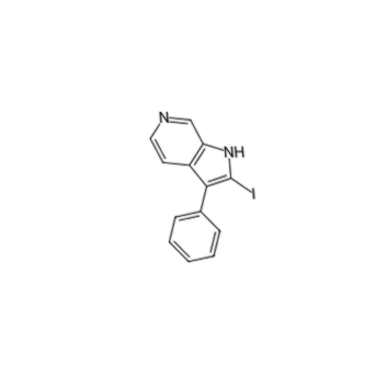 Ic1[nH]c2cnccc2c1-c1ccccc1